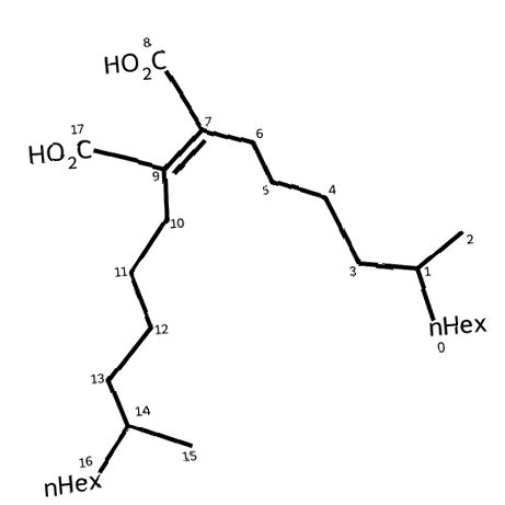 CCCCCCC(C)CCCC/C(C(=O)O)=C(\CCCCC(C)CCCCCC)C(=O)O